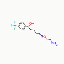 CO[C@@H](CCC/C=N/OCCN)c1ccc(C(F)(F)F)cc1